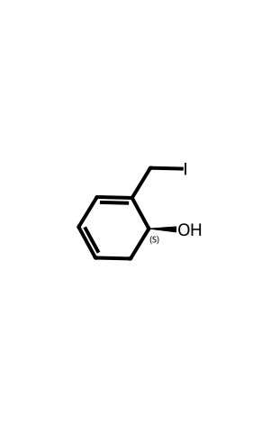 O[C@H]1CC=CC=C1CI